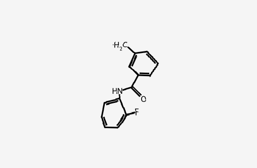 [CH2]c1cccc(C(=O)Nc2ccccc2F)c1